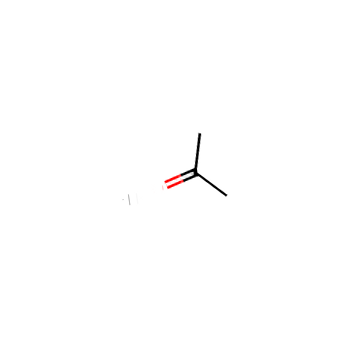 CC(C)=O.[2H]